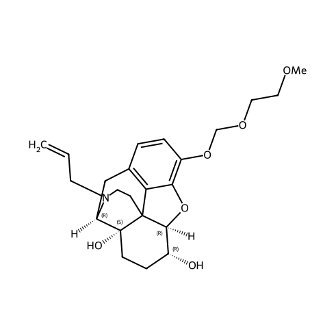 C=CCN1CCC23c4c5ccc(OCOCCOC)c4O[C@H]2[C@H](O)CC[C@@]3(O)[C@H]1C5